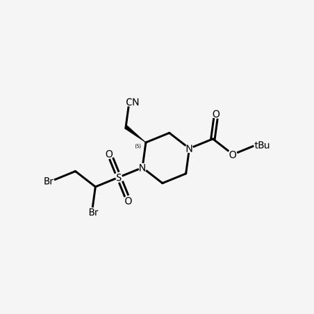 CC(C)(C)OC(=O)N1CCN(S(=O)(=O)C(Br)CBr)[C@@H](CC#N)C1